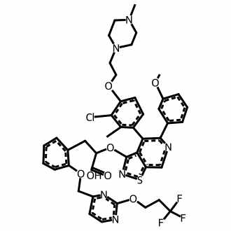 COc1cccc(-c2ncc3snc(OC(Cc4ccccc4OCc4ccnc(OCCC(F)(F)F)n4)C(=O)O)c3c2-c2ccc(OCCN3CCN(C)CC3)c(Cl)c2C)c1